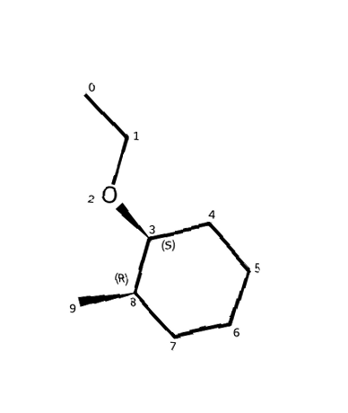 CCO[C@H]1CCCC[C@H]1C